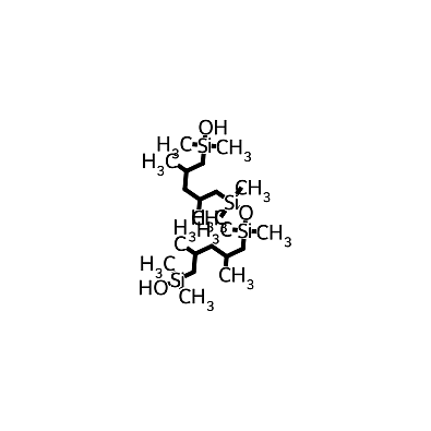 CC(CC(C)C[Si](C)(C)O[Si](C)(C)CC(C)CC(C)C[Si](C)(C)O)C[Si](C)(C)O